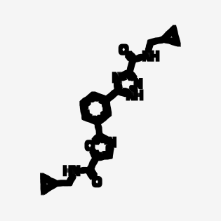 O=C(NCC1CC1)c1n[nH]c(-c2cccc(-c3ncc(C(=O)NCC4CC4)o3)c2)n1